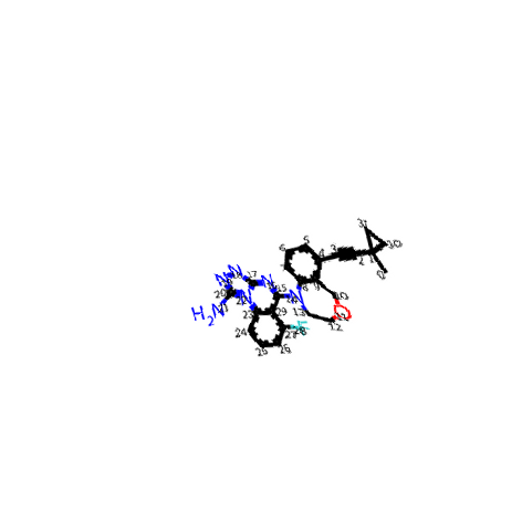 CC1(C#Cc2cccc3c2COCCN3c2nc3nnc(N)n3c3cccc(F)c23)CC1